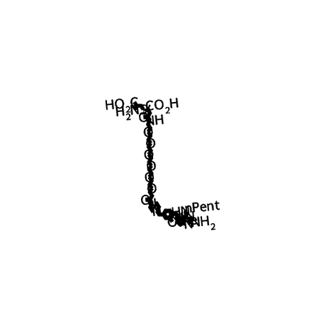 CCCCCNc1nc(N)nc2ccn(Cc3ccc(CN4CCN(C(=O)CCOCCOCCOCCOCCOCCOCCNC(=O)C[C@@H](SCC(N)C(=O)O)C(=O)O)CC4)cc3OC)c12